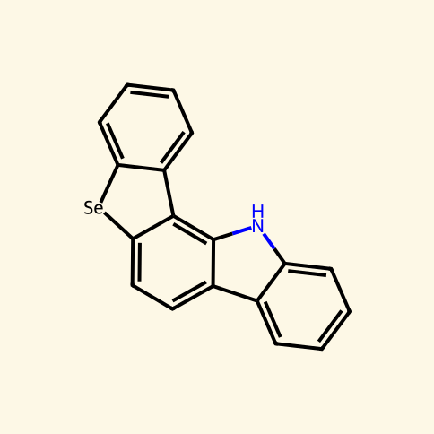 c1ccc2c(c1)[nH]c1c2ccc2[se]c3ccccc3c21